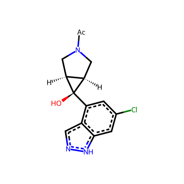 CC(=O)N1C[C@@H]2[C@H](C1)[C@@]2(O)c1cc(Cl)cc2[nH]ncc12